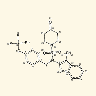 Cc1c(N(Cc2ccc(OC(F)(F)F)cc2)S(=O)(=O)N2CCC(=O)CC2)sc2ccccc12